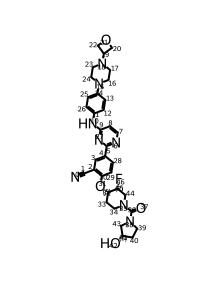 N#Cc1cc(-c2nccc(Nc3ccc(N4CCN(C5COC5)CC4)cc3)n2)ccc1O[C@H]1CCN(C(=O)N2CC[C@H](O)C2)C[C@H]1F